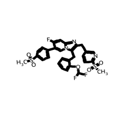 CS(=O)(=O)c1ccc(-c2cn3c(Cc4ccccc4OC(F)F)c(Cc4ccc(S(C)(=O)=O)nc4)nc3cc2F)cc1